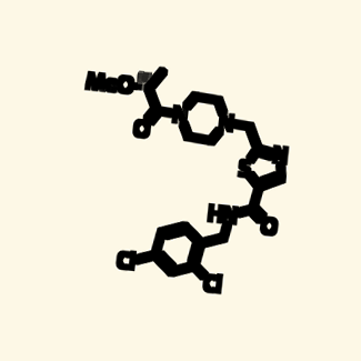 CO[C@H](C)C(=O)N1CCN(Cc2ncc(C(=O)NCc3ccc(Cl)cc3Cl)s2)CC1